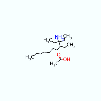 CC(=O)O.CCCCCCCC(CC)C(N)(CC)CC